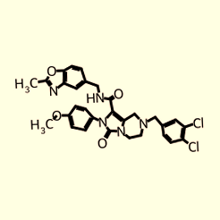 COc1ccc(-n2c(C(=O)NCc3ccc4oc(C)nc4c3)c3n(c2=O)CCN(Cc2ccc(Cl)c(Cl)c2)C3)cc1